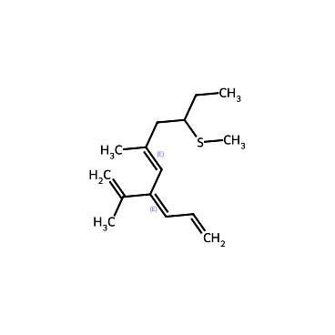 C=C/C=C(\C=C(/C)CC(CC)SC)C(=C)C